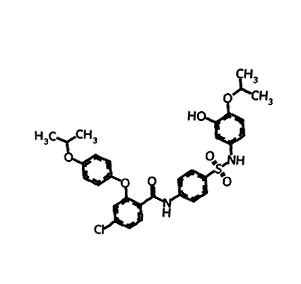 CC(C)Oc1ccc(Oc2cc(Cl)ccc2C(=O)Nc2ccc(S(=O)(=O)Nc3ccc(OC(C)C)c(O)c3)cc2)cc1